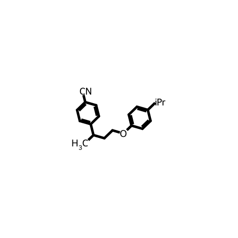 CC(C)c1ccc(OCCC(C)c2ccc(C#N)cc2)cc1